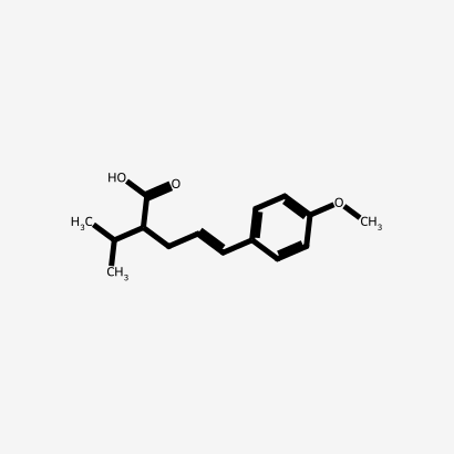 COc1ccc(C=CCC(C(=O)O)C(C)C)cc1